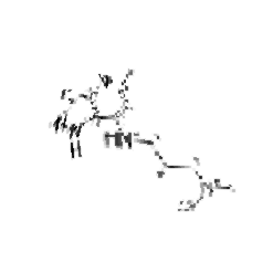 Cc1cc(NCCCN(C)C)c2[nH]ncc2n1